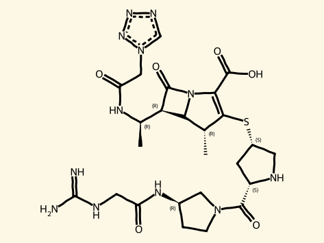 C[C@H]1C(S[C@@H]2CN[C@H](C(=O)N3CC[C@@H](NC(=O)CNC(=N)N)C3)C2)=C(C(=O)O)N2C(=O)[C@H]([C@@H](C)NC(=O)Cn3cnnn3)C12